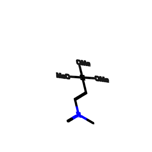 CO[Si](CCN(C)C)(OC)OC